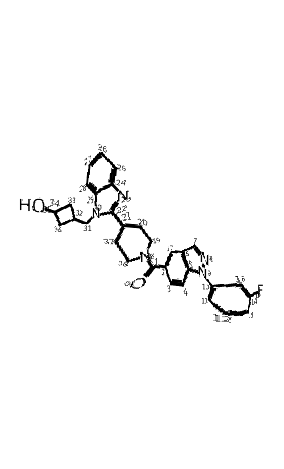 O=C(c1ccc2c(cnn2-c2cccc(F)c2)c1)N1CCC(c2nc3ccccc3n2CC2CC(O)C2)CC1